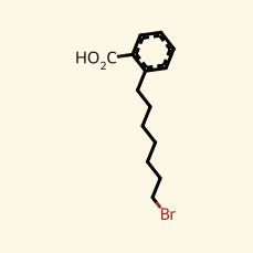 O=C(O)c1ccccc1CCCCCCCBr